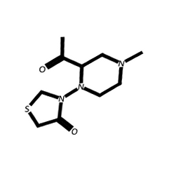 CC(=O)C1CN(C)CCN1N1CSCC1=O